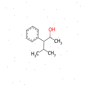 CC(C)C(c1ccccc1)C(C)O